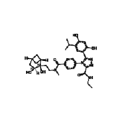 CCNC(=O)c1nnc(-c2cc(C(C)C)c(O)cc2O)n1-c1ccc(C(=O)N(C)CC[C@@]2(O)[C@H]3C[C@@H](C[C@@H]2O)C3)cc1